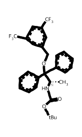 C[C@H](NC(=O)OC(C)(C)C)C(OCc1cc(C(F)(F)F)cc(C(F)(F)F)c1)(c1ccccc1)c1ccccc1